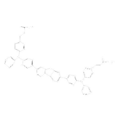 COC(=O)CCc1ccc(N(c2ccccc2)c2ccc(-c3ccc4c(c3)sc3cc(-c5ccc(N(c6ccccc6)c6ccc(CCC(=O)OC)cc6)cc5)ccc34)cc2)cc1